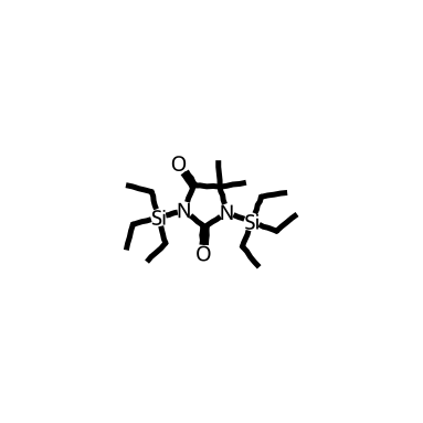 CC[Si](CC)(CC)N1C(=O)N([Si](CC)(CC)CC)C(C)(C)C1=O